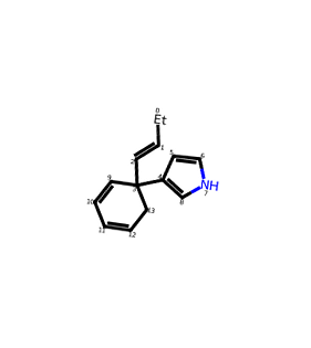 CCC=CC1(c2cc[nH]c2)C=CC=CC1